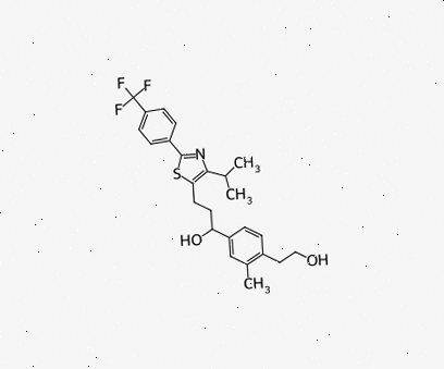 Cc1cc(C(O)CCc2sc(-c3ccc(C(F)(F)F)cc3)nc2C(C)C)ccc1CCO